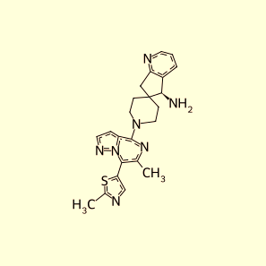 Cc1ncc(-c2c(C)nc(N3CCC4(CC3)Cc3ncccc3[C@H]4N)c3ccnn23)s1